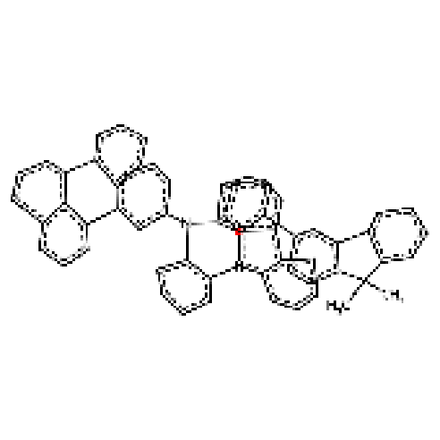 CC1(C)c2ccccc2-c2cc(-c3cccc(N(c4cccc(-c5cccc6cccc(-c7ccccc7)c56)c4)c4ccccc4-n4c5ccccc5c5ccccc54)c3)ccc21